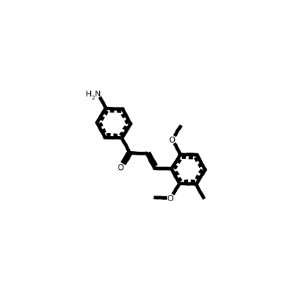 COc1ccc(C)c(OC)c1C=CC(=O)c1ccc(N)cc1